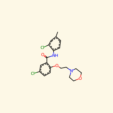 Cc1ccc(NC(=O)c2cc(Cl)ccc2OCCN2CCOCC2)c(Cl)c1